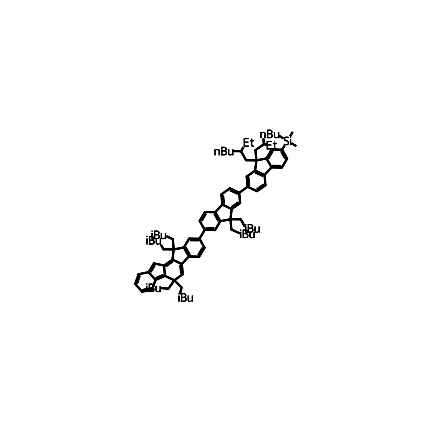 CCCCC(CC)CC1(CC(CC)CCCC)c2cc(-c3ccc4c(c3)C(CC(C)CC)(CC(C)CC)c3cc(-c5ccc6c(c5)C(CC(C)CC)(CC(C)CC)C5=C7C=c8ccccc8=C7C(CC(C)CC)(CC(C)CC)C=C56)ccc3-4)ccc2-c2ccc([Si](C)(C)C)cc21